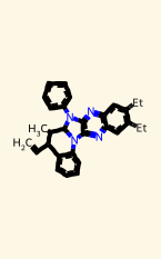 C=CC1c2ccccc2N2c3nc4cc(CC)c(CC)cc4nc3N(c3ccccc3)C2C1C